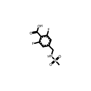 CS(=O)(=O)NCc1cc(F)c(C(=O)O)c(F)c1